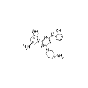 N[C@@H]1CCCN(c2nc(Nc3ccccc3O)nc(N3C[C@H](N)C[C@H](N)C3)n2)C1